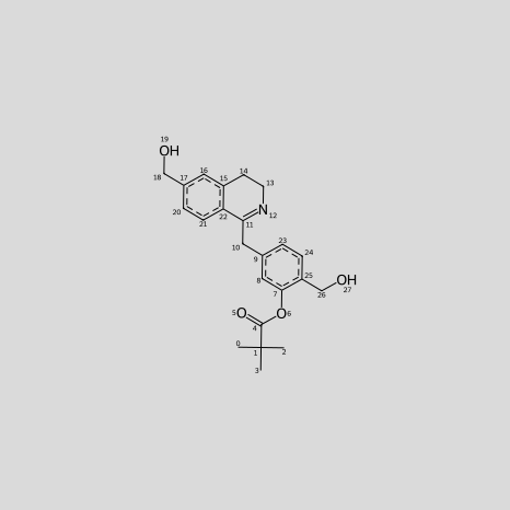 CC(C)(C)C(=O)Oc1cc(CC2=NCCc3cc(CO)ccc32)ccc1CO